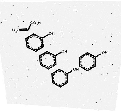 C=CC(=O)O.Oc1ccccc1.Oc1ccccc1.Oc1ccccc1.Oc1ccccc1